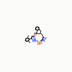 Cc1cccc(C)c1-c1cc2nc(n1)NS(=O)(=O)c1cc(n(C)n1)CC1Cc3ccccc3[C@H](C1)O2